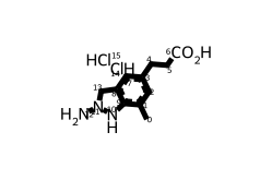 Cc1cc(CCC(=O)O)cc2c1NN(N)C2.Cl.Cl